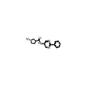 N#CN1CCC(C(=O)Nc2cnc(-c3ccccc3)nc2)C1